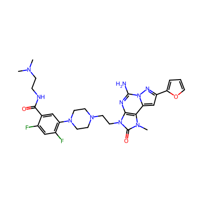 CN(C)CCNC(=O)c1cc(N2CCN(CCn3c(=O)n(C)c4c3nc(N)n3nc(-c5ccco5)cc43)CC2)c(F)cc1F